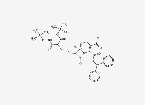 CC(C)(C)ONC(=O)C(CCCC1C(=O)N2C(C(=O)OC(c3ccccc3)c3ccccc3)=C(C(=O)Cl)CS[C@H]12)C(=O)OC(C)(C)C